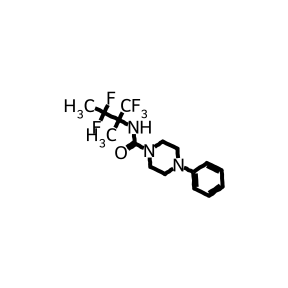 CC(F)(F)C(C)(NC(=O)N1CCN(c2ccccc2)CC1)C(F)(F)F